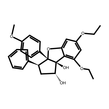 CCOc1cc(OCC)c2c(c1)O[C@@]1(c3ccc(OC)cc3)[C@H](c3ccccc3)C[C@@H](O)[C@@]21O